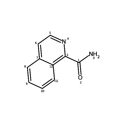 NC(=O)c1nccc2ccc[c]c12